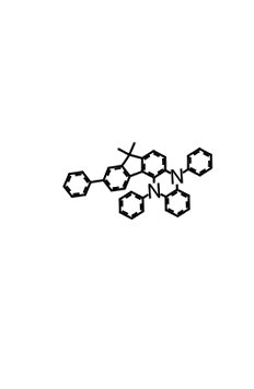 CC1(C)c2cc(-c3ccccc3)ccc2-c2c1ccc1c2N(c2ccccc2)c2ccccc2N1c1ccccc1